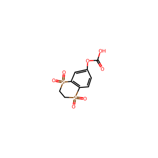 O=C(O)Oc1ccc2c(c1)S(=O)(=O)CCS2(=O)=O